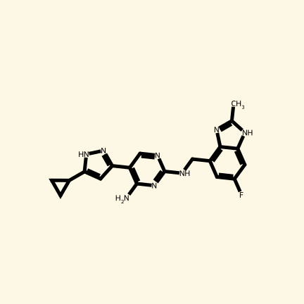 Cc1nc2c(CNc3ncc(-c4cc(C5CC5)[nH]n4)c(N)n3)cc(F)cc2[nH]1